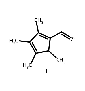 CC1=C(C)C(C)C([CH]=[Zr])=C1C.[H-]